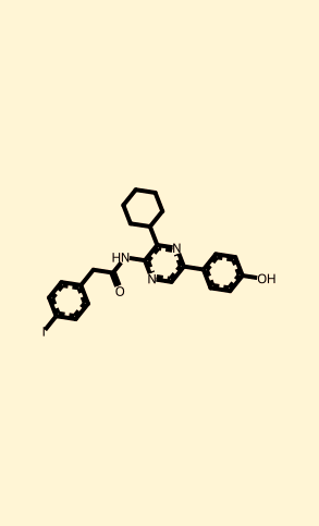 O=C(Cc1ccc(I)cc1)Nc1ncc(-c2ccc(O)cc2)nc1C1CCCCC1